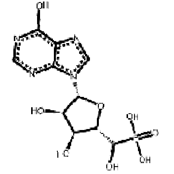 O=P(O)(O)C(O)[C@H]1O[C@@H](n2cnc3c(O)ncnc32)[C@H](O)[C@@H]1O